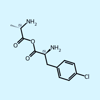 C[C@H](N)C(=O)OC(=O)[C@@H](N)Cc1ccc(Cl)cc1